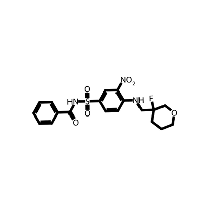 O=C(NS(=O)(=O)c1ccc(NCC2(F)CCCOC2)c([N+](=O)[O-])c1)c1ccccc1